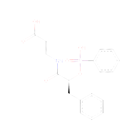 O=C(O)CCNC(=O)[C@H](Cc1ccccc1)OP(=O)(O)c1ccccc1